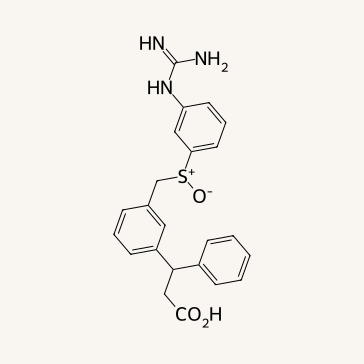 N=C(N)Nc1cccc([S+]([O-])Cc2cccc(C(CC(=O)O)c3ccccc3)c2)c1